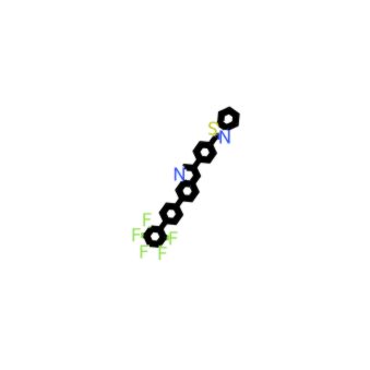 Fc1c(F)c(F)c(-c2ccc(-c3ccc4cc(-c5ccc(-c6nc7ccccc7s6)cc5)cnc4c3)cc2)c(F)c1F